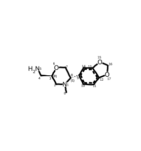 CN1C[C@@H](CN)OC[C@@H]1c1ccc2c(c1)OCO2